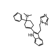 CN(C)C1(c2ccccc2)CC=C(c2[nH]c3ccccc3c2CCn2cncn2)CC1